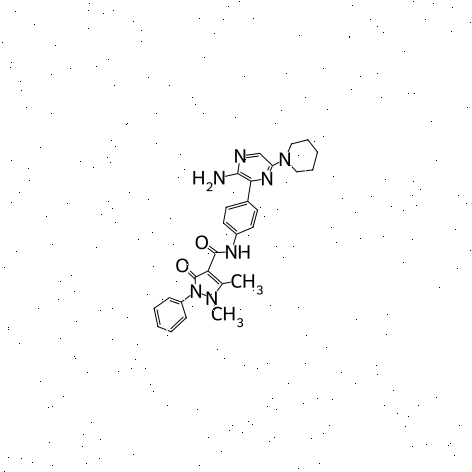 Cc1c(C(=O)Nc2ccc(-c3nc(N4CCCCC4)cnc3N)cc2)c(=O)n(-c2ccccc2)n1C